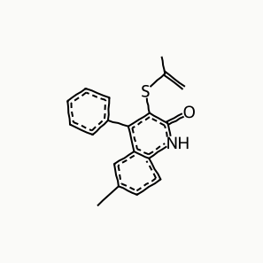 C=C(C)Sc1c(-c2ccccc2)c2cc(C)ccc2[nH]c1=O